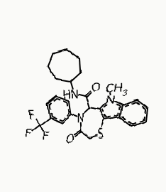 Cn1c2c(c3ccccc31)SCC(=O)N(c1cccc(C(F)(F)F)c1)C2C(=O)NC1CCCCCC1